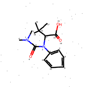 CN(C)C(=O)N(c1ccccc1)C(C(=O)O)C(C)(C)C